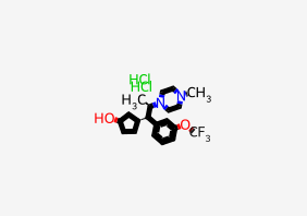 C[C@@H](C(c1cccc(OC(F)(F)F)c1)[C@@H]1CCC(O)C1)N1CCN(C)CC1.Cl.Cl